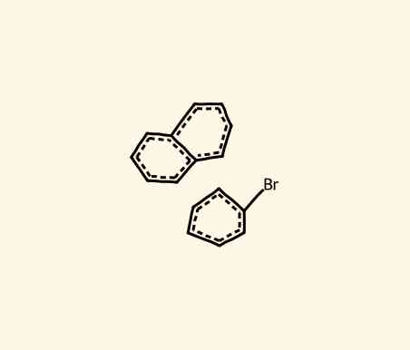 Brc1ccccc1.c1ccc2ccccc2c1